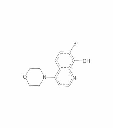 Oc1c(Br)ccc2c(N3CCOCC3)ccnc12